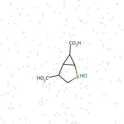 Cl.O=C(O)C1CSC2C(C(=O)O)C12